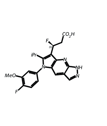 COc1cc(-n2c(C(C)C)c([C@@H](F)CC(=O)O)c3nc4[nH]ncc4cc32)ccc1F